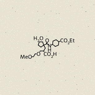 CCOC(=O)C1CCC(NC(=O)C2(CC(COCCOC)C(=O)O)CCCC2)CC1.O